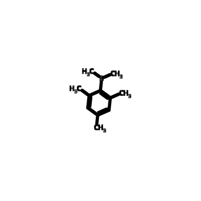 CB(C)c1c(C)cc(C)cc1C